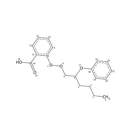 CCCCC(COOc1ccccc1C(=O)O)Oc1ccccc1